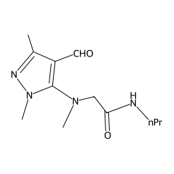 CCCNC(=O)CN(C)c1c(C=O)c(C)nn1C